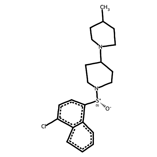 CC1CCN(C2CCN([S@+]([O-])c3ccc(Cl)c4ccccc34)CC2)CC1